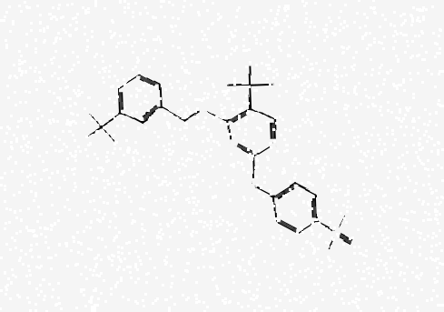 CP(C)(=O)c1ccc(Nc2ncc(C(F)(F)F)c(SCc3cccc(C(F)(F)F)c3)n2)cc1